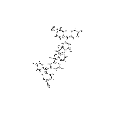 CC1=CC(N(c2ccc(C)cc2)c2ccc(Br)cc2)=CC2C1c1ccc3c(c1C2(C)C)C(C)(C)c1cc(N(c2ccc(C)cc2)c2ccc(Br)cc2)cc(C)c1-3